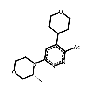 CC(=O)c1nnc(N2CCOC[C@H]2C)cc1C1CCOCC1